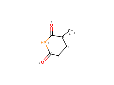 CC1CCC(=O)PC1=O